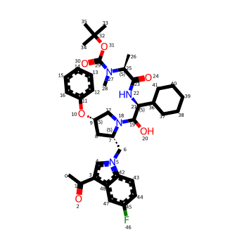 CC(=O)c1cn(C[C@@H]2C[C@H](Oc3ccccc3)CN2C(O)[C@@H](NC(=O)[C@H](C)N(C)C(=O)OC(C)(C)C)C2CCCCC2)c2ccc(F)cc12